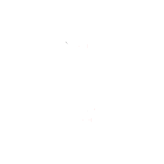 C[C@@H](O)CCCCC/C=C/C(=O)O